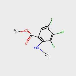 CNc1c(C(=O)OC)cc(F)c(Br)c1F